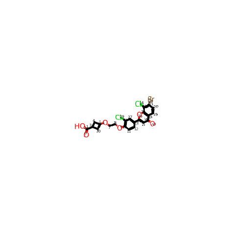 O=C(O)C1CC(OCCOc2ccc(-c3cc(=O)c4ccc(Br)c(Cl)c4o3)cc2Cl)C1